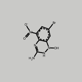 NC1=Nc2c(cc(Br)cc2[N+](=O)[O-])N(O)N1